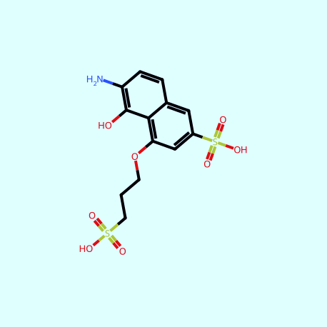 Nc1ccc2cc(S(=O)(=O)O)cc(OCCCS(=O)(=O)O)c2c1O